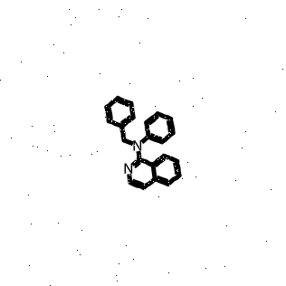 c1ccc(CN(c2ccccc2)c2nccc3ccccc23)cc1